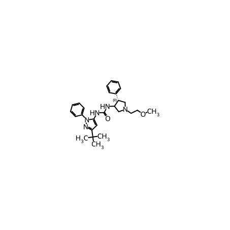 COCCN1CC(NC(=O)Nc2cc(C(C)(C)C)nn2-c2ccccc2)[C@H](c2ccccc2)C1